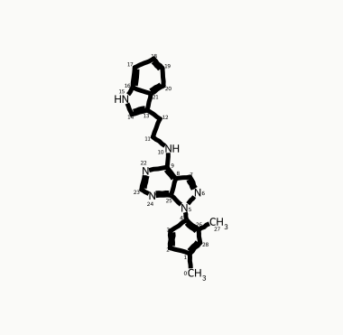 Cc1ccc(-n2ncc3c(NCCc4c[nH]c5ccccc45)ncnc32)c(C)c1